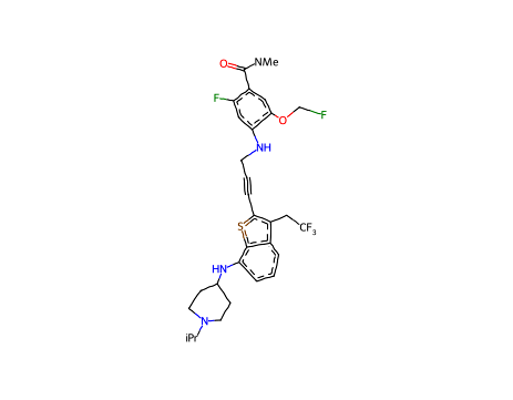 CNC(=O)c1cc(OCF)c(NCC#Cc2sc3c(NC4CCN(C(C)C)CC4)cccc3c2CC(F)(F)F)cc1F